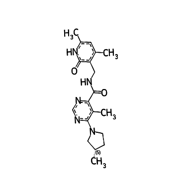 Cc1cc(C)c(CNC(=O)c2ncnc(N3CC[C@H](C)C3)c2C)c(=O)[nH]1